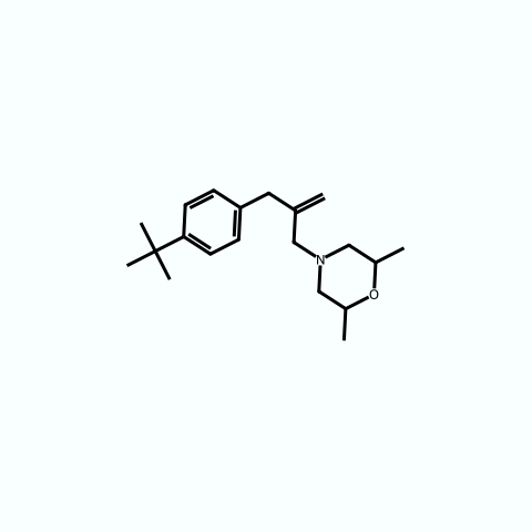 C=C(Cc1ccc(C(C)(C)C)cc1)CN1CC(C)OC(C)C1